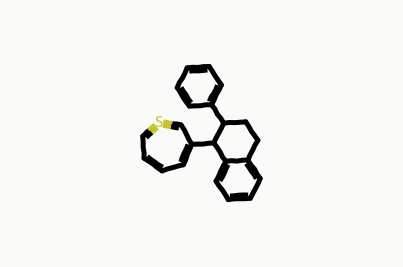 C1=CC=C(C2c3ccccc3CCC2c2ccccc2)C=S=C1